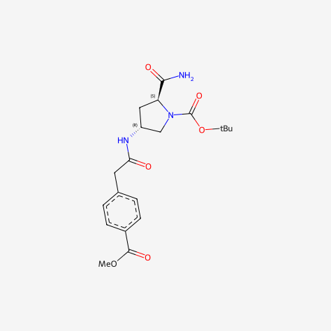 COC(=O)c1ccc(CC(=O)N[C@@H]2C[C@@H](C(N)=O)N(C(=O)OC(C)(C)C)C2)cc1